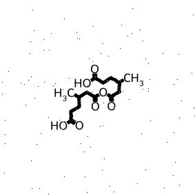 CC(CCC(=O)O)CC(=O)OC(=O)CC(C)CCC(=O)O